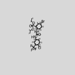 CCOP(=O)(OCC)c1cc(Br)ccc1NC(=O)Nc1ccc(Cl)c(C(F)(F)F)c1